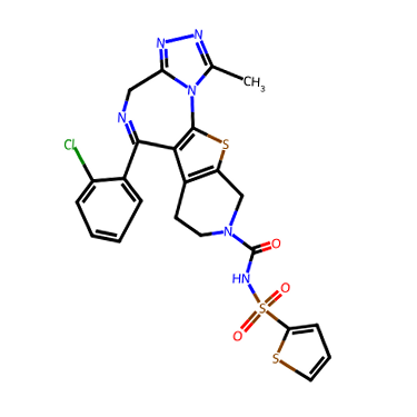 Cc1nnc2n1-c1sc3c(c1C(c1ccccc1Cl)=NC2)CCN(C(=O)NS(=O)(=O)c1cccs1)C3